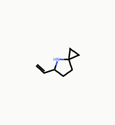 C=[C]C1CCC2(CC2)N1